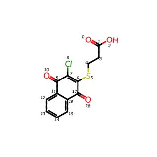 O=C(O)CCSC1=C(Cl)C(=O)c2ccccc2C1=O